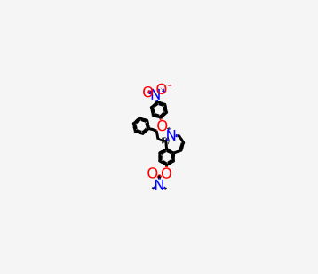 CN(C)C(=O)Oc1ccc2c(c1)C=CCN(C)[C@@H]2CC(Oc1ccc([N+](=O)[O-])cc1)c1ccccc1